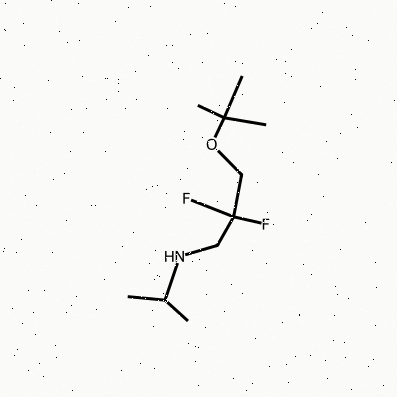 CC(C)NCC(F)(F)COC(C)(C)C